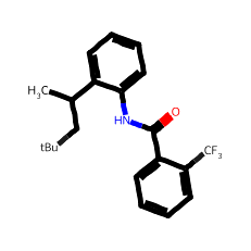 CC(CC(C)(C)C)c1ccccc1NC(=O)c1ccccc1C(F)(F)F